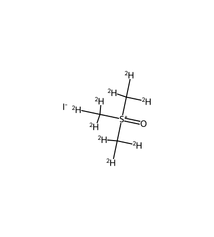 [2H]C([2H])([2H])[S+](=O)(C([2H])([2H])[2H])C([2H])([2H])[2H].[I-]